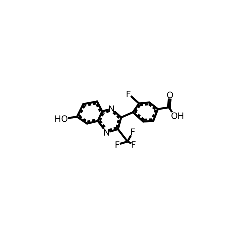 O=C(O)c1ccc(-c2nc3ccc(O)cc3nc2C(F)(F)F)c(F)c1